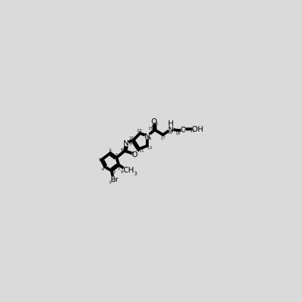 Cc1c(Br)cccc1-c1nc2c(o1)CN(C(=O)CNCCO)C2